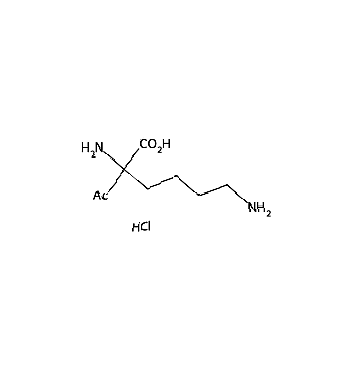 CC(=O)C(N)(CCCCN)C(=O)O.Cl